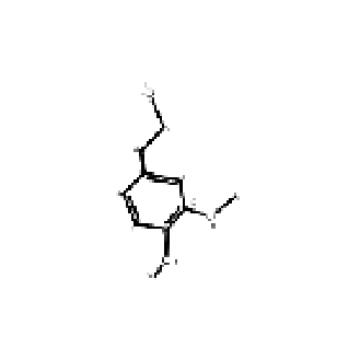 COc1ccc(CC[O])cc1OC